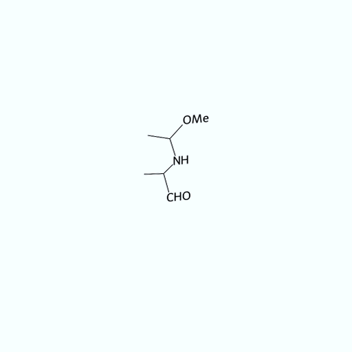 COC(C)NC(C)C=O